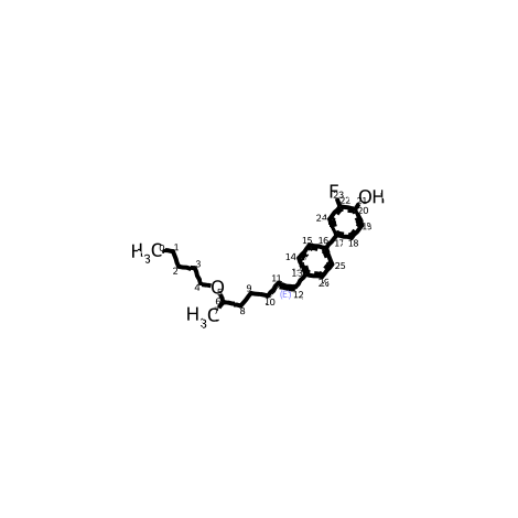 CCCCCOC(C)CCC/C=C/c1ccc(-c2ccc(O)c(F)c2)cc1